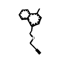 C#CCOCc1ccc(C)c2ccccc12